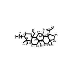 CCC12CC[C@H](NC)C(C)(C)C1CC[C@]1(C)C2CCC2C3[C@H](C(C)C)CC[C@]3(C)CC[C@]21C